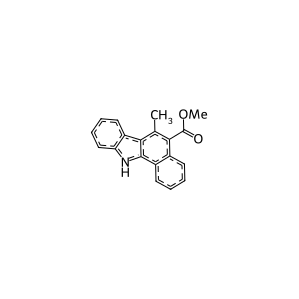 COC(=O)c1c(C)c2c3ccccc3[nH]c2c2ccccc12